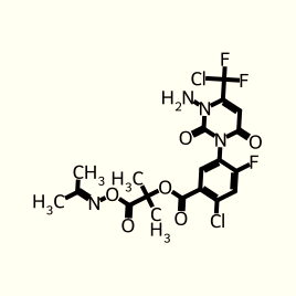 CC(C)=NOC(=O)C(C)(C)OC(=O)c1cc(-n2c(=O)cc(C(F)(F)Cl)n(N)c2=O)c(F)cc1Cl